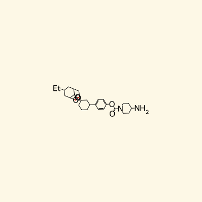 CCC1CC2CCCC(C1)C21OOC2(CCCC(c3ccc(OC(=O)N4CCC(N)CC4)cc3)C2)O1